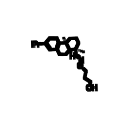 CC(C)c1ccc2c(c1)CC[C@H]1[C@](C)(/C=N/OCCCO)CCC[C@]21C